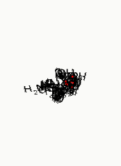 CC(=O)O[C@@]12CO[C@@H]1C[C@H](O)[C@@]1(C)C(=O)[C@H](O)C3=C(C)[C@@H](OC(=O)C(OC(=O)COC(=O)C[C@H](N)C(N)=O)C(NC(=O)OC(C)(C)C)C4CC4)C[C@@](O)([C@@H](OC(=O)c4ccccc4)[C@H]21)C3(C)C.CS(=O)(=O)O